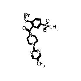 CC(C)Sc1ccc(S(C)(=O)=O)cc1C(=O)N1CCN(c2ncc(C(F)(F)F)cn2)CC1